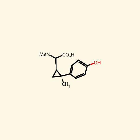 CNC(C(=O)O)[C@@H]1C[C@]1(C)c1ccc(O)cc1